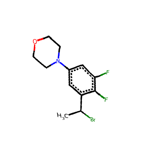 CC(Br)c1cc(N2CCOCC2)cc(F)c1F